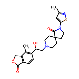 Cc1cc(N2CCC3(CCN(CC(O)c4ccc5c(c4C)COC5=O)CC3)C2=O)sn1